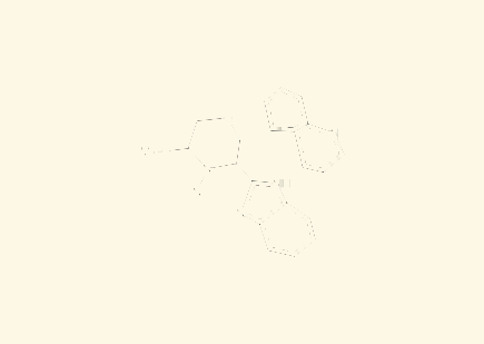 COC1COCC(c2nc3ccccc3[nH]2)N1N.c1ccc2ncccc2c1